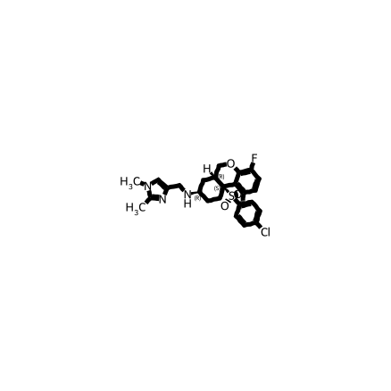 Cc1nc(CN[C@@H]2CC[C@@]3(S(=O)(=O)c4ccc(Cl)cc4)c4c(F)ccc(F)c4OC[C@H]3C2)cn1C